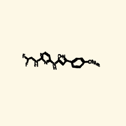 COc1ccc(-c2cc(Nc3ccnc(NCC(F)F)n3)on2)cc1